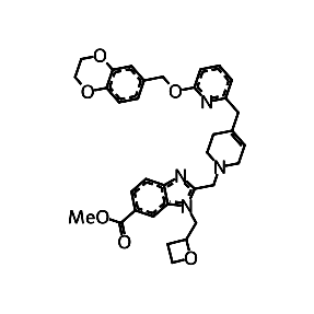 COC(=O)c1ccc2nc(CN3CC=C(Cc4cccc(OCc5ccc6c(c5)OCCO6)n4)CC3)n(CC3CCO3)c2c1